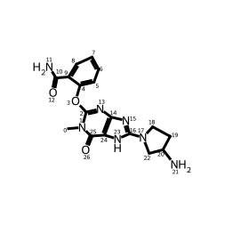 Cn1c(Oc2ccccc2C(N)=O)nc2nc(N3CCC(N)C3)[nH]c2c1=O